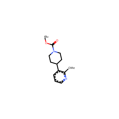 COc1ncccc1C1CCN(C(=O)OC(C)(C)C)CC1